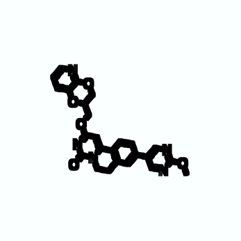 COc1ncc(-c2ccc3c(c2)CCn2c-3cc(OCC3COc4ncccc4O3)nc2=O)cn1